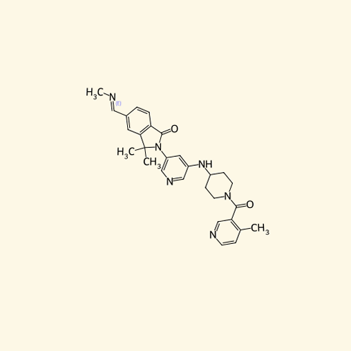 C/N=C/c1ccc2c(c1)C(C)(C)N(c1cncc(NC3CCN(C(=O)c4cnccc4C)CC3)c1)C2=O